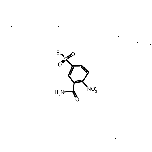 CCS(=O)(=O)c1ccc([N+](=O)[O-])c(C(N)=O)c1